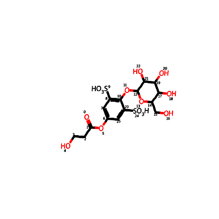 O=C(CCO)Oc1cc(S(=O)(=O)O)c(OC2OC(CO)C(O)C(O)C2O)c(S(=O)(=O)O)c1